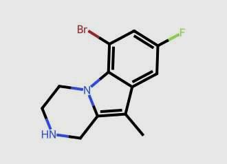 Cc1c2n(c3c(Br)cc(F)cc13)CCNC2